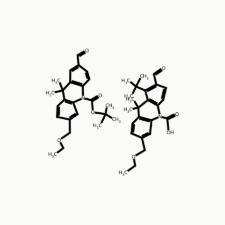 CCOCc1ccc2c(c1)N(C(=O)O)c1ccc(C=O)c(C(C)(C)C)c1C2(C)C.CCOCc1ccc2c(c1)N(C(=O)OC(C)(C)C)c1ccc(C=O)cc1C2(C)C